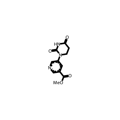 COC(=O)c1cncc(N2CCC(=O)NC2=O)c1